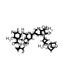 Cc1c(C(=O)NC2(C(F)F)CC2)cc(Nc2nc(-c3cnc4c(c3)N(C3CC(C)(N5CCC6CC5CO6)C3)C(=O)C4(C)C)cc3ncn(C(C)C)c23)c(F)c1F